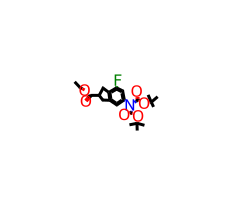 CCOC(=O)C1Cc2cc(N(C(=O)OC(C)(C)C)C(=O)OC(C)(C)C)cc(F)c2C1